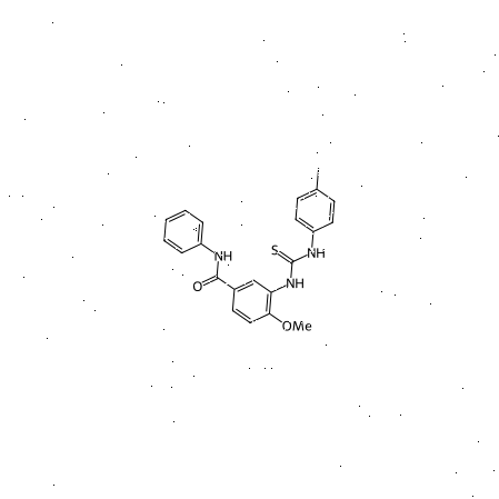 COc1ccc(C(=O)Nc2ccccc2)cc1NC(=S)Nc1ccc(C)cc1